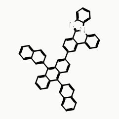 c1ccc2cc(-c3c4ccccc4c(-c4ccc5ccccc5c4)c4cc(-c5ccc6c(c5)c5ccccc5n5c7ccccc7nc65)ccc34)ccc2c1